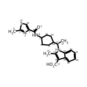 Cc1nc(C(=O)NC2CCC([C@@H](C)n3c(C)c(C(=O)O)c4ccccc43)CC2)cs1